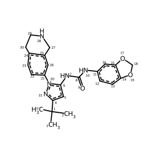 CC(C)(C)c1cc(NC(=O)Nc2ccc3c(c2)OCO3)n(-c2ccc3c(c2)CNCC3)n1